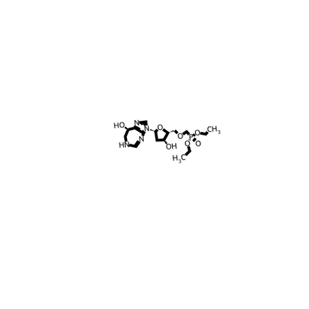 CCOP(=O)(COC[C@H]1O[C@@H](n2cnc3c2N=CNC[C@H]3O)C[C@@H]1O)OCC